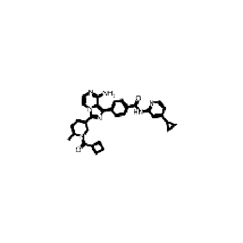 CC1CCC(c2nc(-c3ccc(C(=O)Nc4cc(C5CC5)ccn4)cc3)c3c(N)nccn23)CN1C(=O)C1CCC1